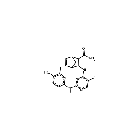 Cc1cc(Nc2ncc(F)c(NC3C4C=CC(C4)C3C(N)=O)n2)ccc1O